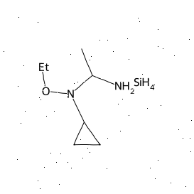 CCON(C(C)N)C1CC1.[SiH4]